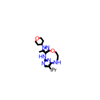 Cc1c2c(nn1C1CCOCC1)OCCCNc1nc(ncc1C(C)C)N2